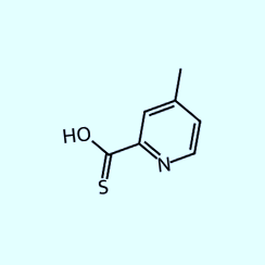 Cc1ccnc(C(O)=S)c1